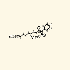 CCCCCCCCCCCCCCCCCC(=O)N(C(=O)OC)c1ccccc1